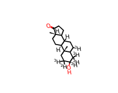 [2H]C1C[C@@H]2[C@H](CC[C@]3(C)C(=O)CC[C@@H]23)[C@@]2(C)CC([2H])([2H])[C@]([2H])(O)C([2H])([2H])C12